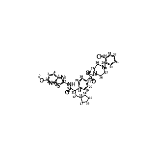 COc1ccc2nc(NC(=O)C(CC3CCCC3)c3ccc(S(=O)(=O)N4CCN(c5ccccc5Cl)CC4)cc3)sc2n1